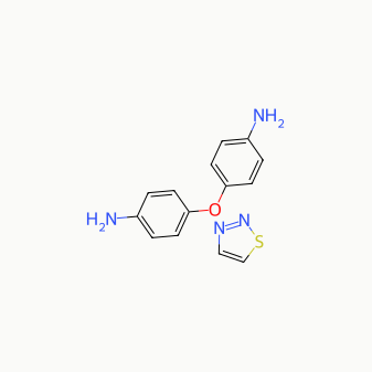 Nc1ccc(Oc2ccc(N)cc2)cc1.c1csnn1